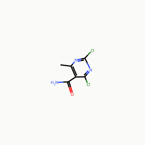 Cc1nc(Cl)nc(Cl)c1C(N)=O